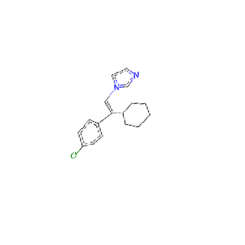 Clc1ccc(C(=Cn2ccnc2)C2CCCCC2)cc1